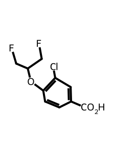 O=C(O)c1ccc(OC(CF)CF)c(Cl)c1